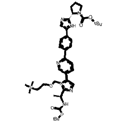 C[C@H](NC(=O)OC(C)(C)C)c1ncc(-c2ccc(-c3ccc(-c4cnc([C@@H]5CCCN5C(=O)OC(C)(C)C)[nH]4)cc3)nc2)n1COCC[Si](C)(C)C